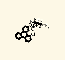 O=S(=O)(Oc1ccc2c3ccccc3c3cccc(Cl)c3c2c1)C(F)(F)C(F)(F)C(F)(F)C(F)(F)F